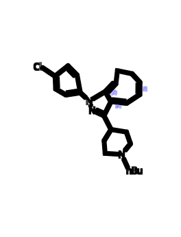 CCCCN1CCC(c2nn(-c3ccc(Cl)cc3)c3/c2=C\C=C/CC/C=3)CC1